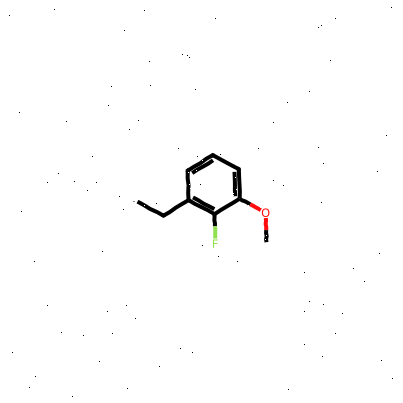 [CH2]Cc1cccc(OC)c1F